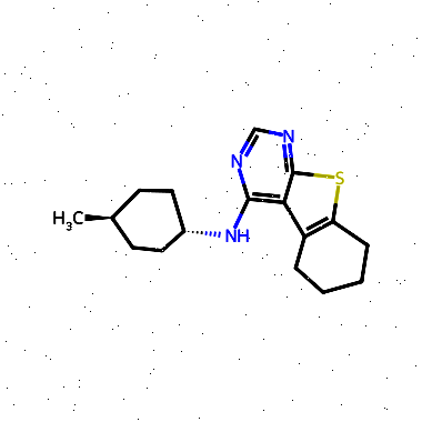 C[C@H]1CC[C@H](Nc2ncnc3sc4c(c23)CCCC4)CC1